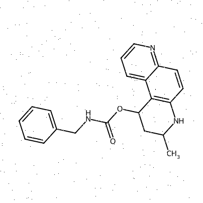 CC1CC(OC(=O)NCc2ccccc2)c2c(ccc3ncccc23)N1